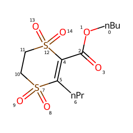 CCCCOC(=O)C1=C(CCC)S(=O)(=O)CCS1(=O)=O